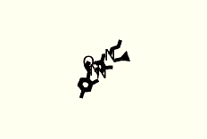 CCCN(Cc1c(C)nn2c(-c3ccc(C)cc3C)coc12)CC1CC1